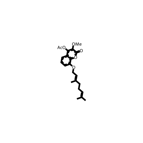 COc1c(OC(C)=O)c2cccc(OC/C=C(\C)CCC=C(C)C)c2oc1=O